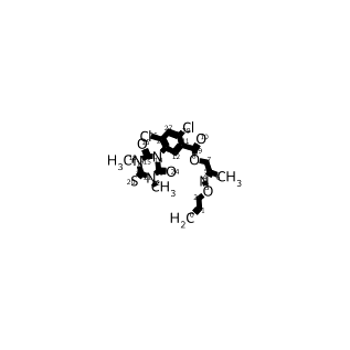 C=CCON=C(C)COC(=O)c1cc(-n2c(=O)n(C)c(=S)n(C)c2=O)c(Cl)cc1Cl